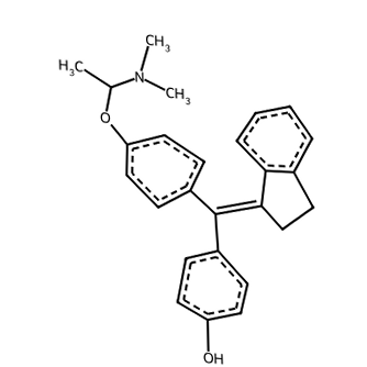 CC(Oc1ccc(C(=C2CCc3ccccc32)c2ccc(O)cc2)cc1)N(C)C